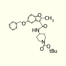 Cc1oc2ccc(OCc3ccccc3)cc2c1C(=O)NC1CCN(C(=O)OC(C)(C)C)CC1